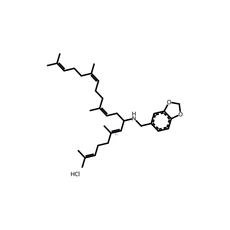 CC(C)=CCCC(C)=CCCC(C)=CCC(/C=C(\C)CCC=C(C)C)NCc1ccc2c(c1)OCO2.Cl